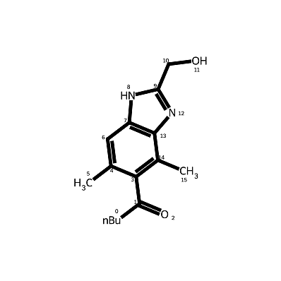 CCCCC(=O)c1c(C)cc2[nH]c(CO)nc2c1C